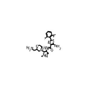 Cn1ncc(NC(=O)c2nc(-c3c(F)cccc3F)sc2N)c1N1CCOC(CN)C1